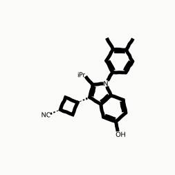 Cc1ccc(-n2c(C(C)C)c([C@H]3C[C@@H](C#N)C3)c3cc(O)ccc32)cc1C